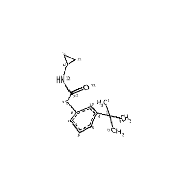 CC(C)(C)c1cccc(SC(=O)NC2CC2)c1